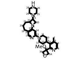 COC1(c2nccc(C)c2C2CCN(c3cc4c(cn3)CCCC3C(N5CCNCC5)CN43)CC2)COC1